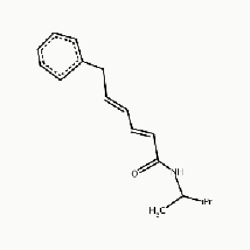 CC(C)C(C)NC(=O)/C=C/C=C/Cc1ccccc1